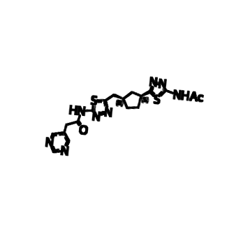 CC(=O)Nc1nnc([C@H]2CC[C@@H](Cc3nnc(NC(=O)Cc4cncnc4)s3)C2)s1